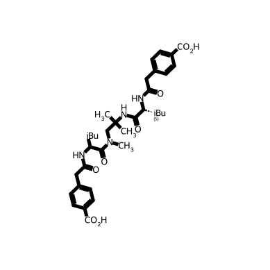 CCC(C)C(NC(=O)Cc1ccc(C(=O)O)cc1)C(=O)N(C)CC(C)(C)NC(=O)C(NC(=O)Cc1ccc(C(=O)O)cc1)[C@@H](C)CC